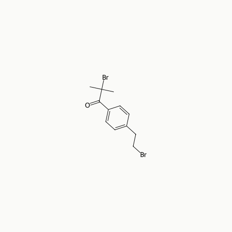 CC(C)(Br)C(=O)c1ccc(CCBr)cc1